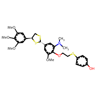 COc1cc([C@H]2CS[C@H](c3cc(OC)c(OCCSc4ccc(O)cc4)c(N(C)C)c3)S2)cc(OC)c1OC